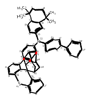 CC1(C)CCC(C)(C)c2cc(N(c3ccc(-c4ccccc4)cc3)c3ccc(-c4cccc5c4C4(c6ccccc6S5)C5CC6CC(C5)CC4C6)cc3)ccc21